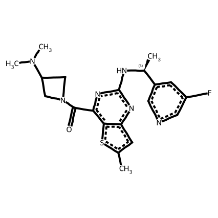 Cc1cc2nc(N[C@@H](C)c3cncc(F)c3)nc(C(=O)N3CC(N(C)C)C3)c2s1